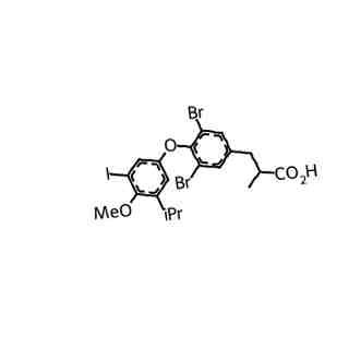 COc1c(I)cc(Oc2c(Br)cc(CC(C)C(=O)O)cc2Br)cc1C(C)C